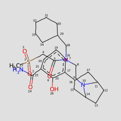 CS(=O)(=O)CC(=O)N(CCN1C2CCC1CC(c1cccc(C(N)=O)c1O)C2)CC1CCCCC1